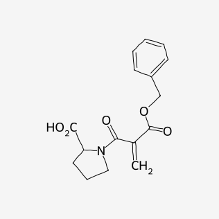 C=C(C(=O)OCc1ccccc1)C(=O)N1CCCC1C(=O)O